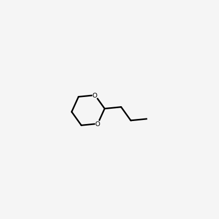 CCCC1OCCCO1